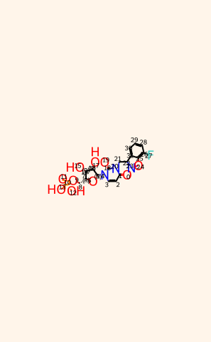 O=c1ccn([C@@H]2O[C@H](COP(=O)(O)O)[C@H](O)[C@@H]2O)c(=O)n1Cc1noc2c(F)cccc12